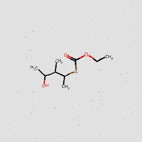 CCOC(=O)SC(C)C(C)C(C)O